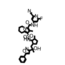 Cc1c(S(=O)(=O)NC2C(C)CCC2CC(C)(O)c2cc(-c3ccccc3)on2)c2n(c1C(=O)Nc1cc(F)nc(C#N)c1)CCCC2